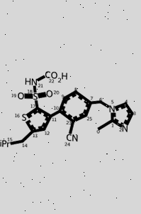 Cc1nccn1Cc1ccc(-c2cc(CC(C)C)sc2S(=O)(=O)NC(=O)O)c(C#N)c1